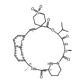 CC(C)C1OC(=O)C2(/C=C/c3ccc4ccc(nc4c3)[C@@H](C)NC(=O)[C@@H]3CCCN(N3)C(=O)[C@H](C)NC1=O)CCS(=O)(=O)CC2